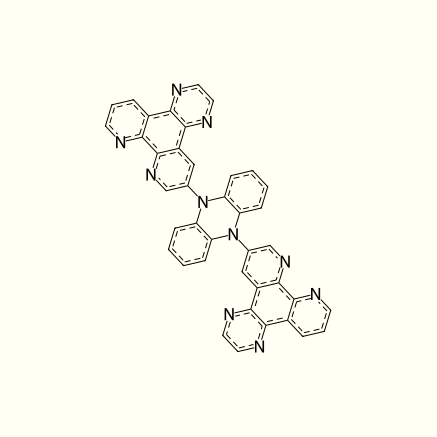 c1ccc2c(c1)N(c1cnc3c(c1)c1nccnc1c1cccnc13)c1ccccc1N2c1cnc2c(c1)c1nccnc1c1cccnc12